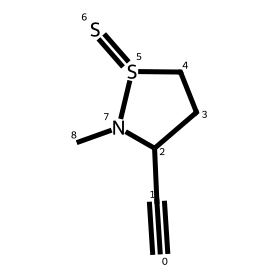 C#CC1CCS(=S)N1C